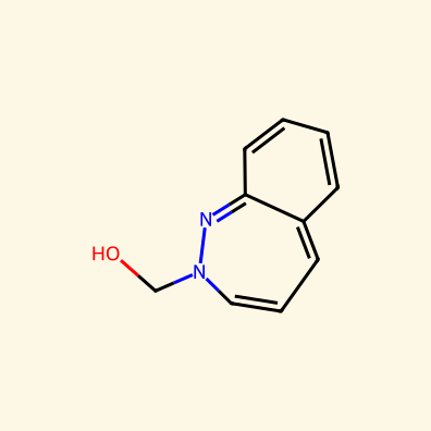 OCN1C=CC=c2ccccc2=N1